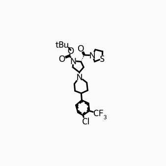 CC(C)(C)OC(=O)N1C[C@@H](N2CCC(c3ccc(Cl)c(C(F)(F)F)c3)CC2)C[C@H]1C(=O)N1CCSC1